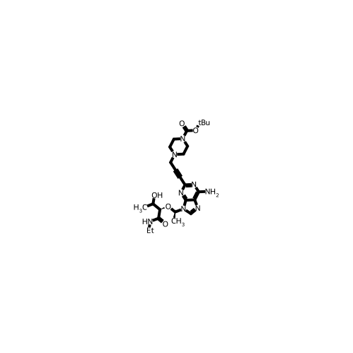 CCNC(=O)[C@@H](O[C@H](C)n1cnc2c(N)nc(C#CCN3CCN(C(=O)OC(C)(C)C)CC3)nc21)C(C)O